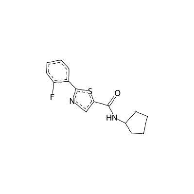 O=C(NC1CCCC1)c1cnc(-c2ccccc2F)s1